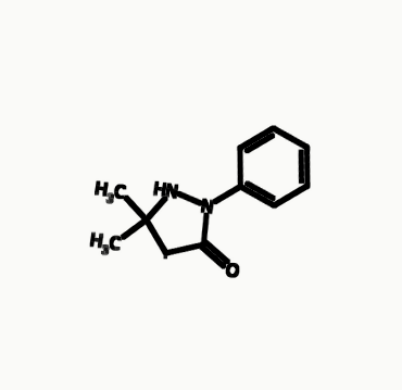 CC1(C)[CH]C(=O)N(c2ccccc2)N1